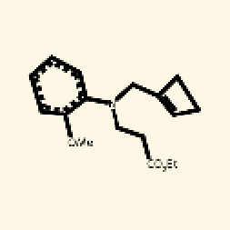 CCOC(=O)CCN(CC1=CCC1)c1ccccc1OC